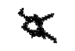 C=CCN(C)CC=CCOc1ccc(C(=O)CC(CCCCCCCCCC)(OC(=O)/C=C/C(=O)OC(CCCCCCCCCC)(CC(=O)c2ccc(OCC=CCN(C)CC=C)c(F)c2)N(C)CC=C)N(C)CC=C)cc1F